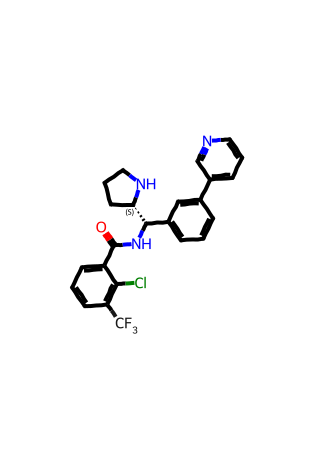 O=C(NC(c1cccc(-c2cccnc2)c1)[C@@H]1CCCN1)c1cccc(C(F)(F)F)c1Cl